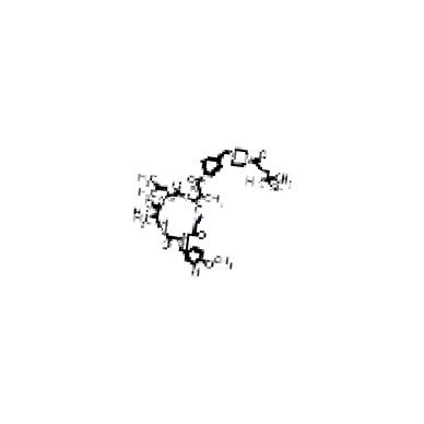 COc1ccc(C[C@H]2NC(=O)/C=C/C[C@@H]([C@H](C)[C@H]3O[C@@H]3c3ccc(CN4CCN(C(=O)CCC(C)(C)S)CC4)cc3)OC(=O)[C@H](CC(C)C)OC(=O)C(C)(C)CNC2=O)cc1Cl